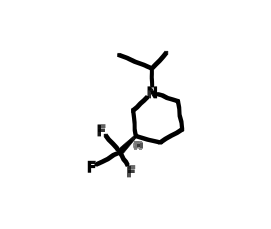 CC(C)N1CCC[C@@H](C(F)(F)F)C1